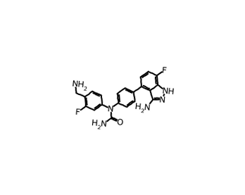 NCc1ccc(N(C(N)=O)c2ccc(-c3ccc(F)c4[nH]nc(N)c34)cc2)cc1F